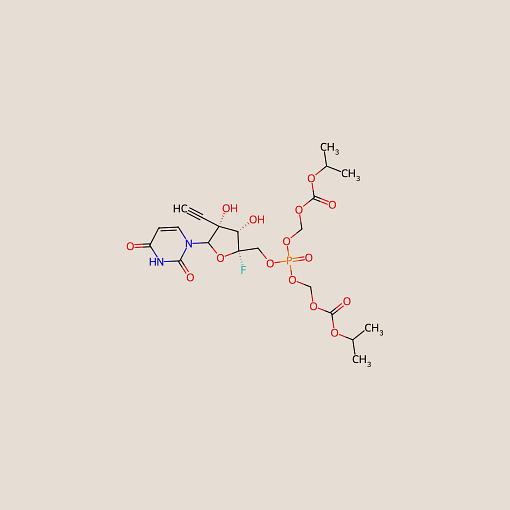 C#C[C@]1(O)C(n2ccc(=O)[nH]c2=O)O[C@](F)(COP(=O)(OCOC(=O)OC(C)C)OCOC(=O)OC(C)C)[C@H]1O